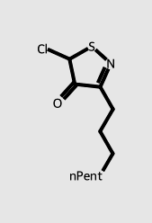 CCCCCCCCC1=NSC(Cl)C1=O